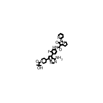 CC(C)(O)C(=O)N1CCC(c2cc(-c3ccc(NC(=O)c4c5n(n(-c6ccccn6)c4=O)CCC5)cc3F)c3c(N)ncnn23)CC1